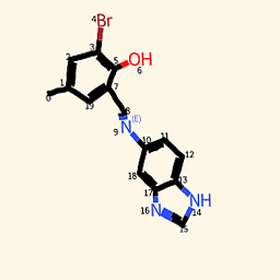 Cc1cc(Br)c(O)c(/C=N/c2ccc3[nH]cnc3c2)c1